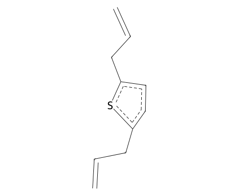 C=CCc1ccc(CC=C)s1